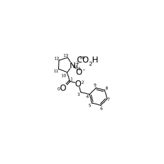 O=C(OCc1ccccc1)C1CCC[N+]1([O-])C(=O)O